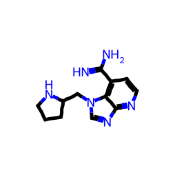 N=C(N)c1ccnc2ncn(CC3CCCN3)c12